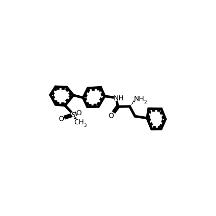 CS(=O)(=O)c1ccccc1-c1ccc(NC(=O)[C@H](N)Cc2ccccc2)cc1